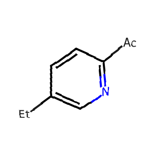 CCc1ccc(C(C)=O)nc1